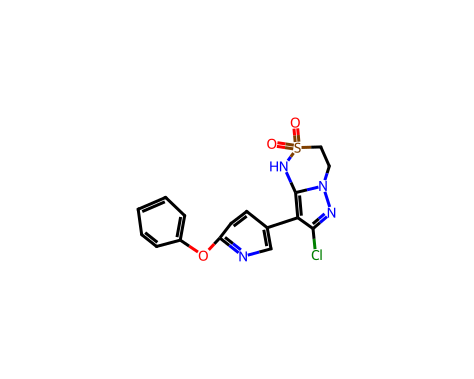 O=S1(=O)CCn2nc(Cl)c(-c3ccc(Oc4ccccc4)nc3)c2N1